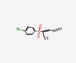 CC/C(=C\NC)S(=O)(=O)c1ccc(Br)cc1